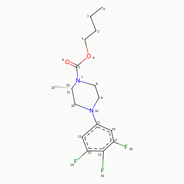 CCCCOC(=O)N1CCN(c2cc(F)c(F)c(F)c2)C[C@@H]1C